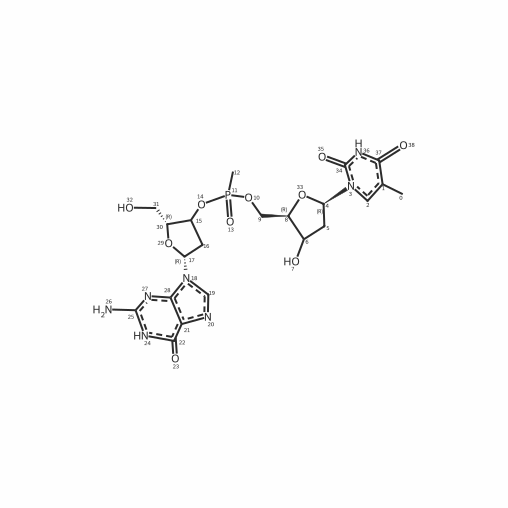 Cc1cn([C@H]2CC(O)[C@@H](COP(C)(=O)OC3C[C@H](n4cnc5c(=O)[nH]c(N)nc54)O[C@@H]3CO)O2)c(=O)[nH]c1=O